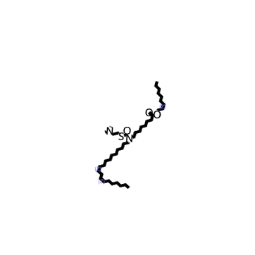 CCCCCC/C=C\C/C=C\CCCCCCCCCN(CCCCCCCC(=O)OC/C=C\CCCCCC)C(=O)SCCN(C)C